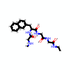 CCNC(=O)CNC(=O)CNC(=O)C(Cc1ccc2ccccc2c1)NC(=O)CNC